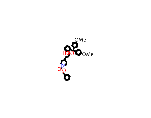 COc1ccc(C(OC(O)CCC2CCN(C(=O)OCc3ccccc3)CC2)(c2ccccc2)c2ccc(OC)cc2)cc1